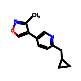 Cc1nocc1-c1ccc(CC2CC2)nc1